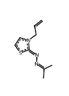 C=CCn1ccs/c1=N\N=C(C)C